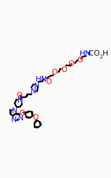 O=C(O)NCCOCCOCCOCCOCCC(=O)NCCN1CCN(CC=CC(=O)N2CCC(n3ccc4ncnc(Oc5ccc(Oc6ccccc6)cc5)c43)CC2)CC1